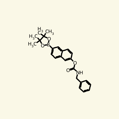 CC1(C)OB(c2ccc3cc(OC(=O)NCc4ccccc4)ccc3c2)OC1(C)C